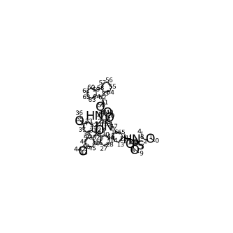 COCC(C)NP(=S)(OC)OCc1cccc(CNC(=O)C(COC(c2ccccc2)(c2ccc(OC)cc2)c2ccc(OC)cc2)NC(=O)OCC2c3ccccc3-c3ccccc32)c1